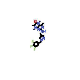 Cc1nc(NCc2cnn(Cc3cc(F)c(F)c(F)c3)c2)nc2c1N(C)C(=O)[C@H](C)N2C